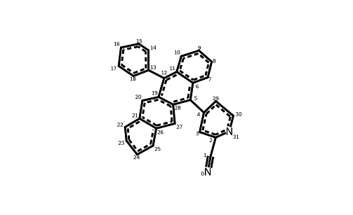 N#Cc1cc(-c2c3ccccc3c(-c3ccccc3)c3cc4ccccc4cc23)ccn1